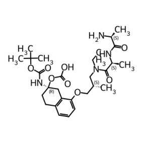 CCN(C[C@H](C)COc1cccc2c1C[C@](NC(=O)OC(C)(C)C)(OC(=O)O)CC2)C(=O)[C@H](C)NC(=O)[C@H](C)N